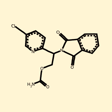 NC(=O)OCC(c1ccc(Cl)cn1)N1C(=O)c2ccccc2C1=O